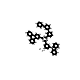 Cc1cc(-c2nc(-c3cccc(-c4cccc(-c5ccccc5)c4)c3)nc(-c3ccc4c5ccccc5c5ccccc5c4c3)n2)cc(-n2c3ccccc3c3ccccc32)c1